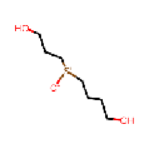 [O-][S+](CCCO)CCCCO